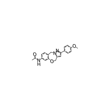 COc1ccc(-c2cc3n(n2)Cc2ccc(NC(C)=O)cc2OC3)cc1